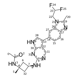 CC(=O)N[C@]1(C)C[C@@H](Nc2ncc3c(-c4ccc5nc(C)n(CC(F)F)c5c4)c[nH]c3n2)C1